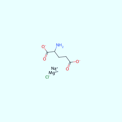 NC(CCC(=O)[O-])C(=O)[O-].[Cl-].[Mg+2].[Na+]